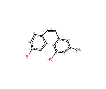 Cc1cc(O)cc(/C=C\c2ccc(O)cc2)c1